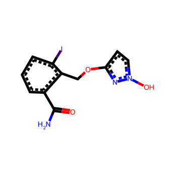 NC(=O)c1cccc(I)c1COc1ccn(O)n1